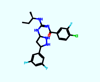 CC[C@@H](C)N/C(=N/C(=O)c1ccc(Cl)c(F)c1)NC1CC(c2cc(F)cc(F)c2)NN1